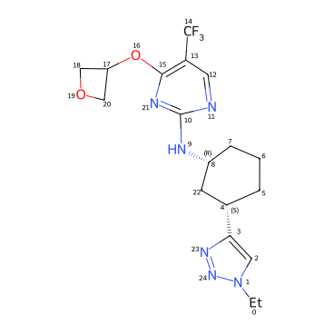 CCn1cc([C@H]2CCC[C@@H](Nc3ncc(C(F)(F)F)c(OC4COC4)n3)C2)nn1